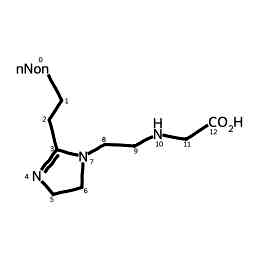 CCCCCCCCCCCC1=NCCN1CCNCC(=O)O